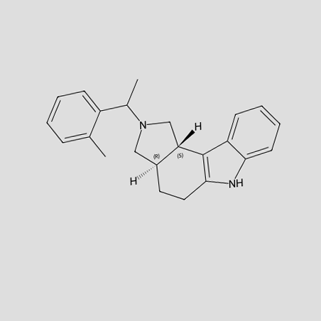 Cc1ccccc1C(C)N1C[C@@H]2CCc3[nH]c4ccccc4c3[C@H]2C1